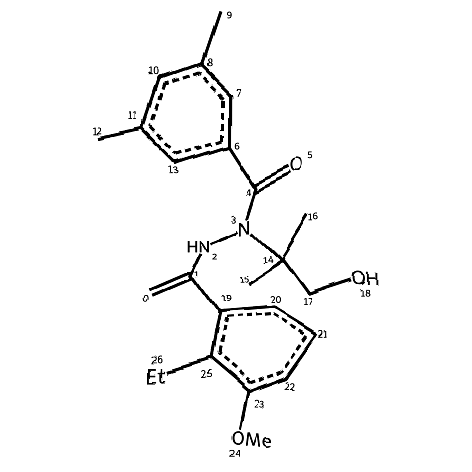 C=C(NN(C(=O)c1cc(C)cc(C)c1)C(C)(C)CO)c1cccc(OC)c1CC